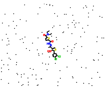 CCN(CC)C(=O)c1ccc(C(=O)N/N=C(\C)c2csc(-c3ccc(Cl)c(Cl)c3)c2O)s1